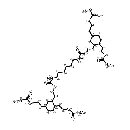 CNC(=O)SCCC1CCC(CCSC(=O)NC)C(CCSC(=O)NCCCCCCNC(=O)SCCC2CC(CCSC(=O)NC)CCC2CCSC(=O)NC)C1